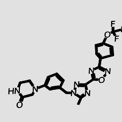 Cc1nc(-c2nc(-c3ccc(OC(F)(F)F)cc3)no2)nn1Cc1cccc(N2CCNC(=O)C2)c1